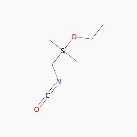 CCO[Si](C)(C)CN=C=O